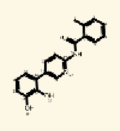 Cc1ccccc1C(=O)Nc1ccc(-c2cccc(O)c2O)cn1